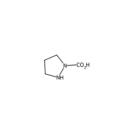 O=C(O)N1CCCN1